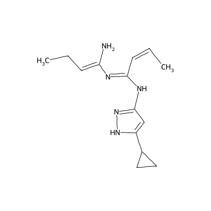 C\C=C/C(=N\C(N)=C\CC)Nc1cc(C2CC2)[nH]n1